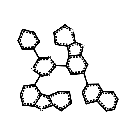 c1ccc(-c2nc(-c3cccc4oc5ccccc5c34)nc(-c3cc(-c4ccc5ccccc5c4)cc4oc5ncccc5c34)n2)cc1